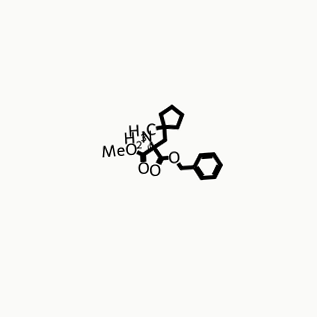 COC(=O)[C@](N)(CC1(C)CCCC1)C(=O)OCc1ccccc1